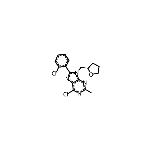 Cc1nc(Cl)c2nc(-c3ccccc3Cl)n(C[C@H]3CCCO3)c2n1